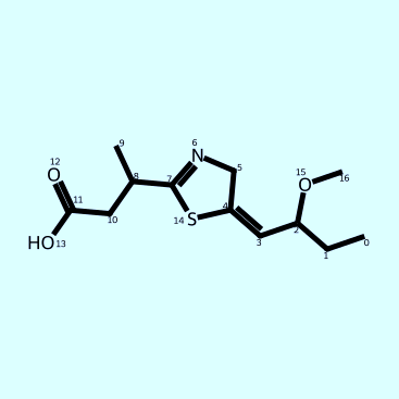 CCC(/C=C1\CN=C(C(C)CC(=O)O)S1)OC